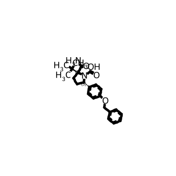 CC(C)(C)[C@]1(C(N)=O)CC[C@@H](c2ccc(OCc3ccccc3)cc2)N1C(=O)O